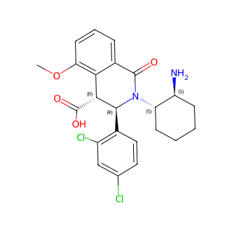 COc1cccc2c1[C@@H](C(=O)O)[C@H](c1ccc(Cl)cc1Cl)N([C@H]1CCCC[C@@H]1N)C2=O